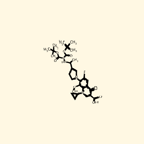 COc1c(N2CCC(C(C)NN(C(=O)OC(C)(C)C)C(=O)OC(C)(C)C)C2)c(F)cc2c(=O)c(C(=O)O)cn(C3CC3)c12